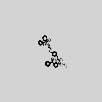 COC(=O)[C@H](Cc1ccc(OCCCNC(=O)C2(Cc3ccccc3)CCCCC2)cc1)Nc1ccccc1C(=O)c1ccccc1